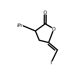 CC(C)C1CC(=CI)OC1=O